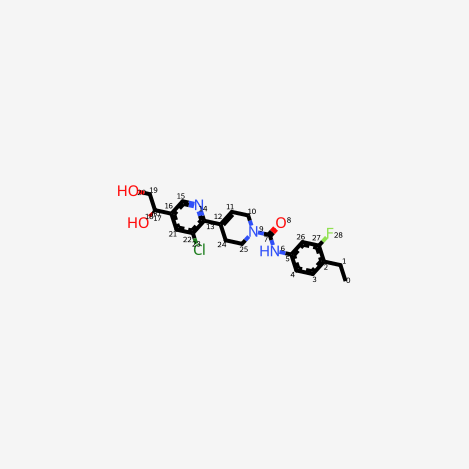 CCc1ccc(NC(=O)N2CC=C(c3ncc([C@@H](O)CO)cc3Cl)CC2)cc1F